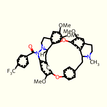 COc1cc2c3cc1Oc1ccc(cc1)CC1c4cc(c(OC)cc4CCN1C)Oc1c(OC)c(OC)cc4c1[C@H](C3)N(CC4)N2C(=O)c1ccc(C(F)(F)F)cc1